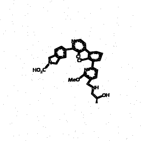 COc1nc(-c2cccc(-c3ccnc(-c4ccc5c(c4)CN(C(=O)O)C5)c3Cl)c2Cl)ccc1CNC[C@H](C)O